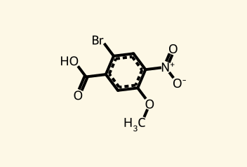 COc1cc(C(=O)O)c(Br)cc1[N+](=O)[O-]